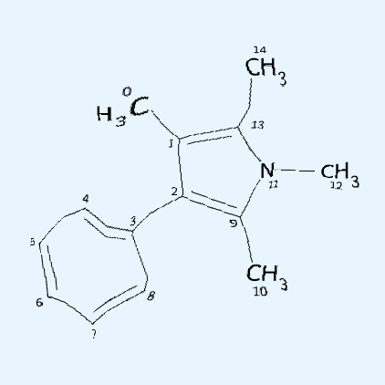 Cc1c(-c2ccccc2)c(C)n(C)c1C